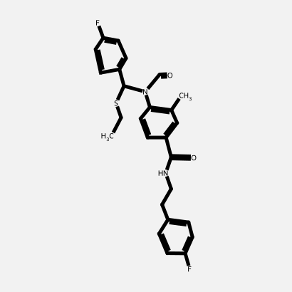 CCSC(c1ccc(F)cc1)N(C=O)c1ccc(C(=O)NCCc2ccc(F)cc2)cc1C